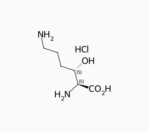 Cl.NCCC[C@H](O)[C@H](N)C(=O)O